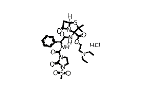 CCN(CC)CCOC(=O)[C@]1(NC(=O)C(NC(=O)N2CCN(S(C)(=O)=O)C2=O)c2ccccc2)N2C(=O)C[C@H]2SC1(C)C.Cl